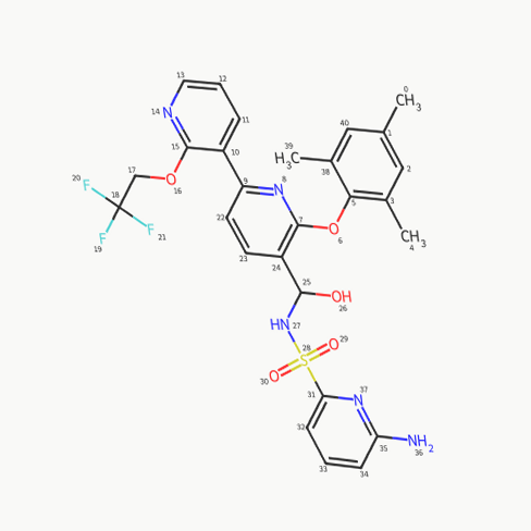 Cc1cc(C)c(Oc2nc(-c3cccnc3OCC(F)(F)F)ccc2C(O)NS(=O)(=O)c2cccc(N)n2)c(C)c1